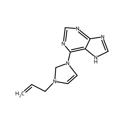 C=CCN1C=CN(c2ncnc3nc[nH]c23)C1